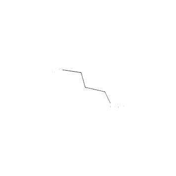 CCCC[CH]CC=O